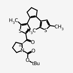 Cc1cc(C2=C(c3cc(C(=O)[C@@H]4CCCN4C(=O)OC(C)(C)C)sc3C)CCC2)c(C)s1